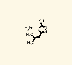 CC(C)=Cc1nnc(S)s1.[PoH2]